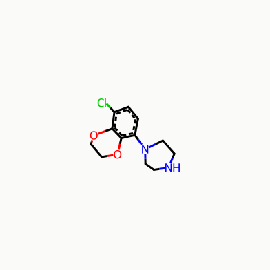 Clc1ccc(N2CCNCC2)c2c1OCCO2